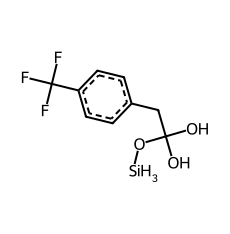 OC(O)(Cc1ccc(C(F)(F)F)cc1)O[SiH3]